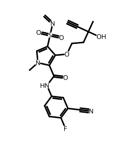 C#CC(C)(O)CCOc1c(S(=O)(=O)N=C)cn(C)c1C(=O)Nc1ccc(F)c(C#N)c1